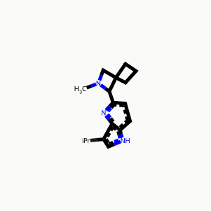 CC(C)c1c[nH]c2ccc(C3N(C)CC34CCC4)nc12